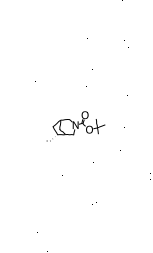 [CH2][C@@H]1CC2CC1CN(C(=O)OC(C)(C)C)C2